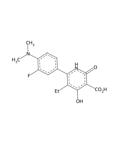 CCc1c(-c2ccc(N(C)C)c(F)c2)[nH]c(=O)c(C(=O)O)c1O